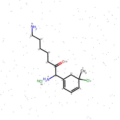 CC1(Cl)C=CC=C(C(N)C(=O)CCCCCN)C1.Cl